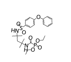 CCOP(=O)(OCC)C(=O)NC(C)(C)CC(C)(C)NS(=O)(=O)c1ccc(Oc2ccccc2)cc1